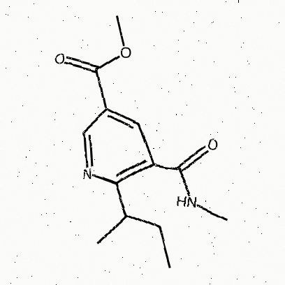 CCC(C)c1ncc(C(=O)OC)cc1C(=O)NC